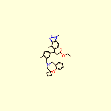 CCOC(=O)CC(c1ccc(C)c(CN2Cc3ccccc3OC3(CCC3)C2)c1)c1ccc2c(nnn2C)c1C